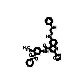 COc1ccc(NC(=O)c2cc(-c3ncco3)nc3ccc(NCCNc4ccccc4)cc23)cc1S(=O)(=O)N1CCCCC1